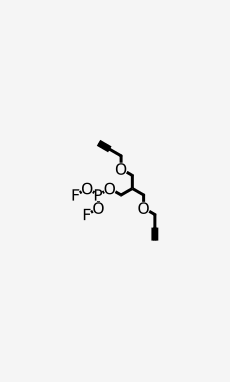 C#CCOCC(COCC#C)COP(OF)OF